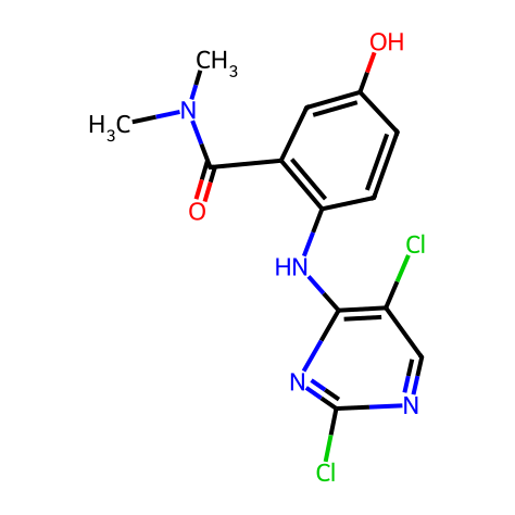 CN(C)C(=O)c1cc(O)ccc1Nc1nc(Cl)ncc1Cl